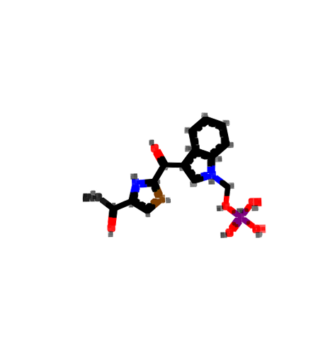 COC(=O)c1csc(C(=O)c2cn(COP(=O)(O)O)c3ccccc23)n1